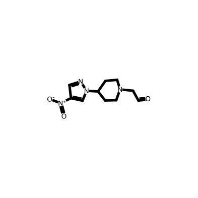 O=CCN1CCC(n2cc([N+](=O)[O-])cn2)CC1